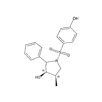 C[C@@H]1CN(S(=O)(=O)c2ccc(O)cc2)C(c2ccccc2)[C@@H]1O